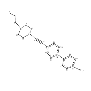 CCCC1CCC(C#Cc2cnc(-c3ccc(F)cc3)nc2)CC1